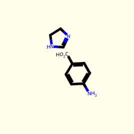 C1=NCCN1.Nc1ccc(C(=O)O)cc1